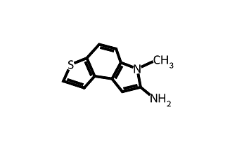 Cn1c(N)cc2c3ccsc3ccc21